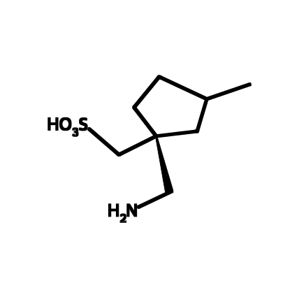 CC1CC[C@@](CN)(CS(=O)(=O)O)C1